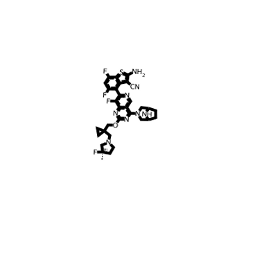 C[C@@]1(F)CCN(CC2(COc3nc(N4CC5CCC(C4)N5)c4cnc(-c5c(F)cc(F)c6sc(N)c(C#N)c56)c(F)c4n3)CC2)C1